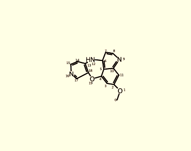 COc1cc2c3c(ccnc3c1)Nc1ccncc1O2